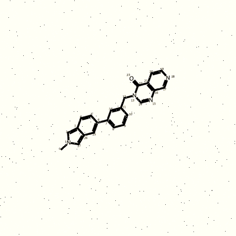 Cn1cc2ccc(-c3cccc(Cn4cnc5cnccc5c4=O)c3)cc2c1